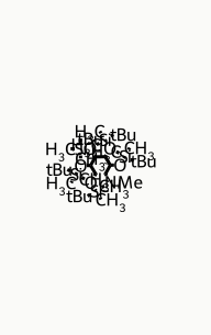 CNCC(O[Si](C)(C)C(C)(C)C)C(O[Si](C)(C)C(C)(C)C)C(O[Si](C)(C)C(C)(C)C)C(CO[Si](C)(C)C(C)(C)C)O[Si](C)(C)C(C)(C)C